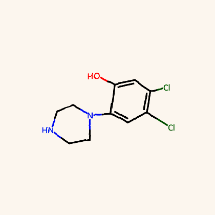 Oc1cc(Cl)c(Cl)cc1N1CCNCC1